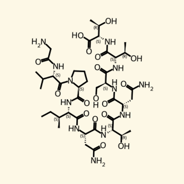 CC[C@H](C)[C@H](NC(=O)[C@@H]1CCCN1C(=O)[C@@H](NC(=O)CN)C(C)C)C(=O)N[C@@H](CC(N)=O)C(=O)N[C@H](C(=O)N[C@@H](CC(N)=O)C(=O)N[C@@H](CO)C(=O)N[C@H](C(=O)N[C@H](C(=O)O)[C@@H](C)O)[C@@H](C)O)[C@@H](C)O